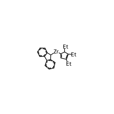 CCC1=C(CC)C(CC)[C]([Zr][CH]2c3ccccc3-c3ccccc32)=C1